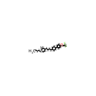 CCCCC[SiH]1CCC(CCCCC2CCC(c3ccc(OC=C(F)F)cc3)CC2)CC1